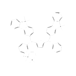 CC1(C)c2ccccc2-c2cc(N(c3ccccc3)c3sc(N(c4ccccc4)c4ccc5c(c4)C(C)(C)c4ccccc4-5)cc3B3OC(C)(C)C(C)(C)O3)ccc21